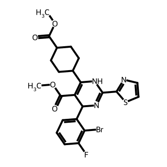 COC(=O)C1=C(C2CCC(C(=O)OC)CC2)NC(c2nccs2)=NC1c1cccc(F)c1Br